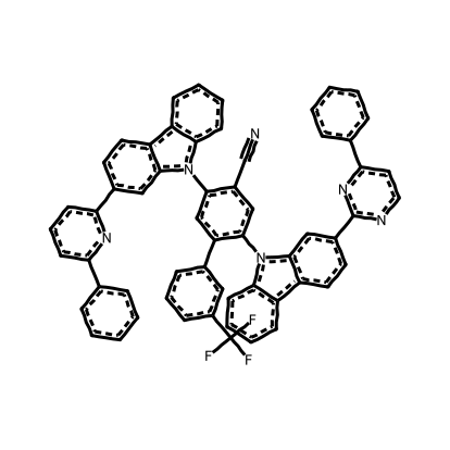 N#Cc1cc(-n2c3ccccc3c3ccc(-c4nccc(-c5ccccc5)n4)cc32)c(-c2cccc(C(F)(F)F)c2)cc1-n1c2ccccc2c2ccc(-c3cccc(-c4ccccc4)n3)cc21